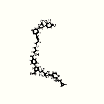 O=C1CCC(N2C[C@H](c3cccc(C#CCCOCCCNCc4ccc(-n5cc(NC(=O)c6coc(-c7ccnc(NCC8CC8)c7)n6)c(C(F)F)n5)cc4)c3)OC2=O)C(=O)N1